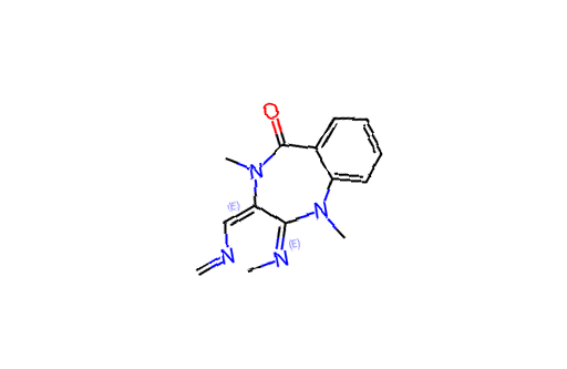 C=N/C=C1\C(=N/C)N(C)c2ccccc2C(=O)N1C